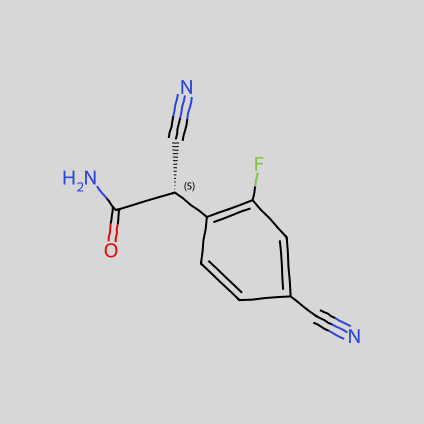 N#Cc1ccc([C@@H](C#N)C(N)=O)c(F)c1